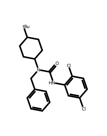 CC(C)(C)C1CCC(N(Cc2ccccc2)C(=O)Nc2cc(Cl)ccc2Cl)CC1